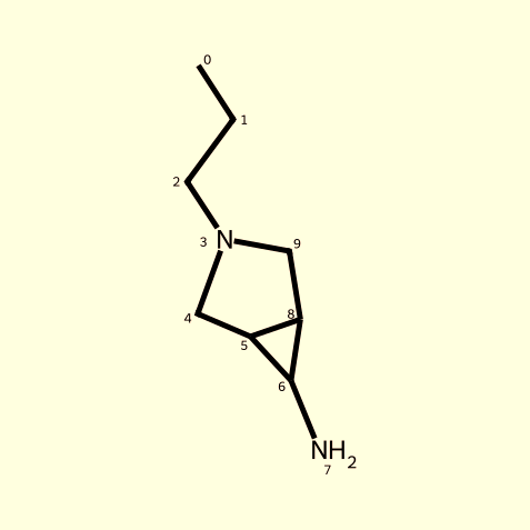 CCCN1CC2C(N)C2C1